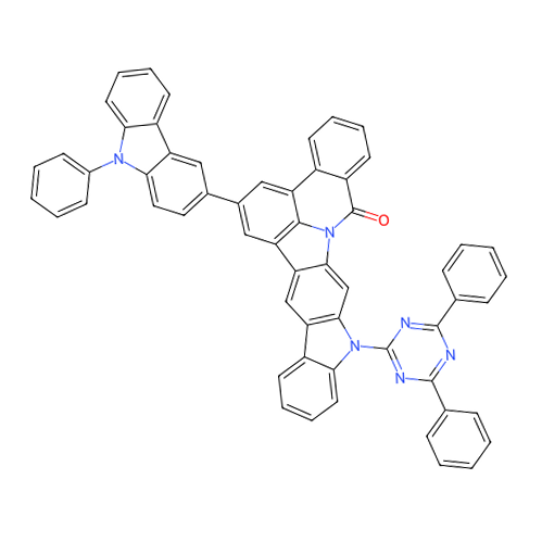 O=c1c2ccccc2c2cc(-c3ccc4c(c3)c3ccccc3n4-c3ccccc3)cc3c4cc5c6ccccc6n(-c6nc(-c7ccccc7)nc(-c7ccccc7)n6)c5cc4n1c23